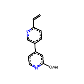 C=Cc1ccc(-c2ccnc(OC)c2)cn1